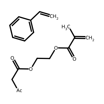 C=C(C)C(=O)OCCOC(=O)CC(C)=O.C=Cc1ccccc1